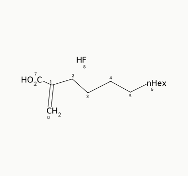 C=C(CCCCCCCCCC)C(=O)O.F